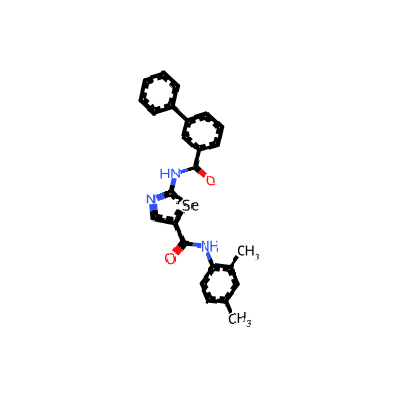 Cc1ccc(NC(=O)c2cnc(NC(=O)c3cccc(-c4ccccc4)c3)[se]2)c(C)c1